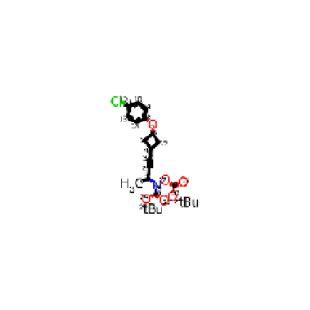 CC(C#CC1CC(Oc2ccc(Cl)cc2)C1)N(OC(=O)OC(C)(C)C)C(=O)OC(C)(C)C